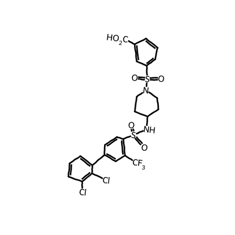 O=C(O)c1cccc(S(=O)(=O)N2CCC(NS(=O)(=O)c3ccc(-c4cccc(Cl)c4Cl)cc3C(F)(F)F)CC2)c1